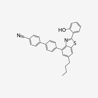 CCCCc1cc(-c2ccc(-c3ccc(C#N)cc3)cc2)c2nc(-c3ccccc3O)sc2c1